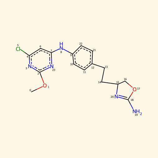 COc1nc(Cl)cc(Nc2ccc(CCC3COC(N)=N3)cc2)n1